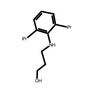 CC(C)c1cccc(C(C)C)c1NCCCO